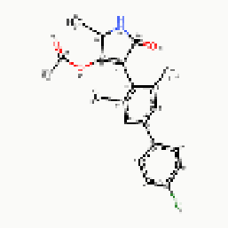 Cc1cc(-c2ccc(Cl)cc2)cc(C)c1C1=C(OC(=O)C(C)C)C(C)NC1=O